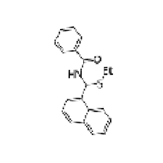 CCSC(NC(=O)c1ccccc1)c1cccc2ccccc12